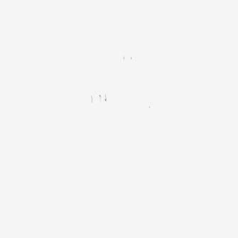 Cc1cccc2c1NC(=O)C21CCC1